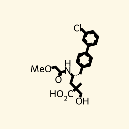 COCC(=O)N[C@H](Cc1ccc(-c2cccc(Cl)c2)cc1)CC(C)(CO)C(=O)O